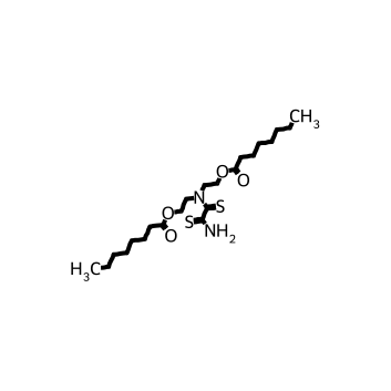 CCCCCCCC(=O)OCCN(CCOC(=O)CCCCCCC)C(=S)C(N)=S